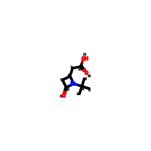 CC(C)(C)N1C(=O)CC1CC(=O)O